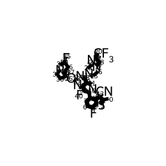 Cc1sc2c(F)ccc(-c3ncc4c(N5CCn6cc(C(F)(F)F)nc6C5)nc(OC[C@]56CCCN5C[C@@H](F)C6)nc4c3F)c2c1C#N